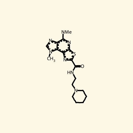 CNc1nc2sc(C(=O)NCCN3CCCCC3)nc2c2c1ncn2C